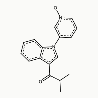 CC(C)C(=O)c1cn(-c2ccc[n+]([O-])c2)c2ccccc12